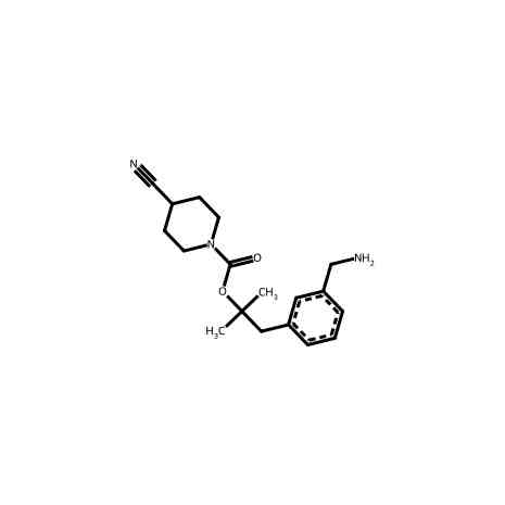 CC(C)(Cc1cccc(CN)c1)OC(=O)N1CCC(C#N)CC1